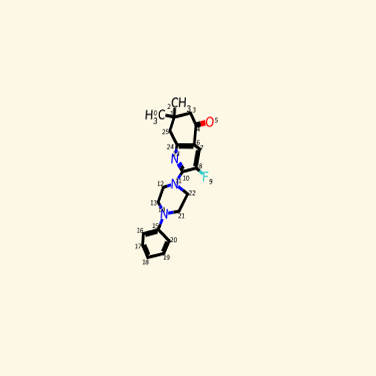 CC1(C)CC(=O)c2cc(F)c(N3CCN(c4ccccc4)CC3)nc2C1